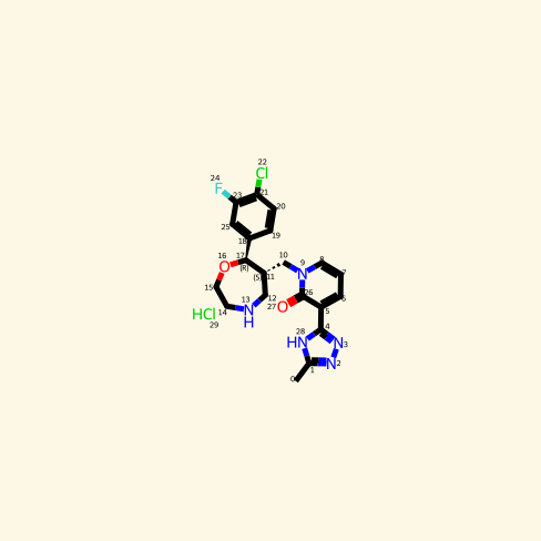 Cc1nnc(-c2cccn(C[C@@H]3CNCCO[C@H]3c3ccc(Cl)c(F)c3)c2=O)[nH]1.Cl